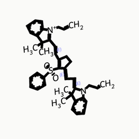 C=CCN1/C(=C/C=C2\CCC(/C=C/C3=[N+](CC=C)c4ccccc4C3(C)C)=C2S(=O)(=O)c2ccccc2)C(C)(C)c2ccccc21